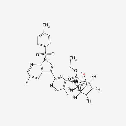 [2H]C1C([2H])C2([2H])[C@H](C(=O)OCC)[C@@H](Nc3nc(-c4cn(S(=O)(=O)c5ccc(C)cc5)c5ncc(F)cc45)ncc3F)C1([2H])C([2H])([2H])C2([2H])[2H]